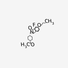 CCCCOc1ccc2c(c1F)C(=O)N(C[C@H]1CC[C@H](C(C)=O)CC1)C2